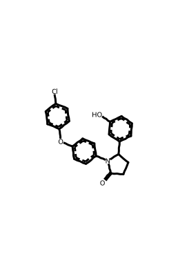 O=C1CCC(c2cccc(O)c2)N1c1ccc(Oc2ccc(Cl)cc2)cc1